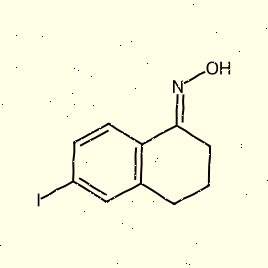 O/N=C1\CCCc2cc(I)ccc21